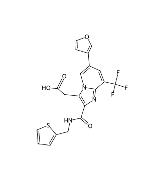 O=C(O)Cc1c(C(=O)NCc2cccs2)nc2c(C(F)(F)F)cc(-c3ccoc3)cn12